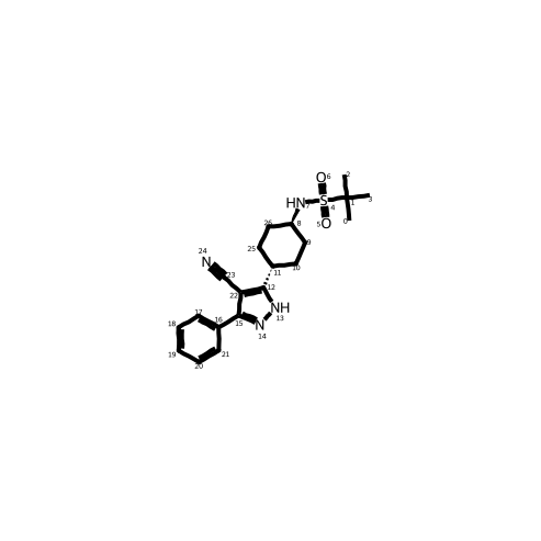 CC(C)(C)S(=O)(=O)N[C@H]1CC[C@H](c2[nH]nc(-c3ccccc3)c2C#N)CC1